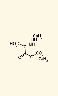 O=C(O)OC(=O)OC(=O)O.[CaH2].[CaH2].[LiH].[LiH]